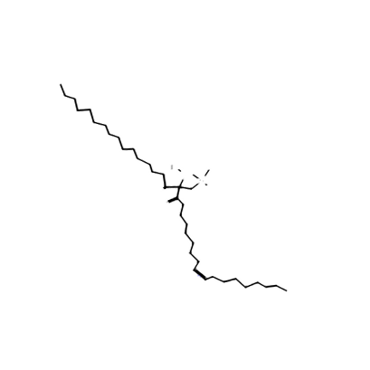 CCCCCCCC/C=C\CCCCCCCC(=O)C(C[N+](C)(C)C)(O[PH-])C(=O)CCCCCCCCCCCCCCC